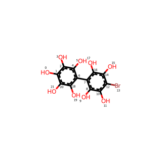 Oc1c(O)c(O)c(-c2c(O)c(O)c(Br)c(O)c2O)c(O)c1O